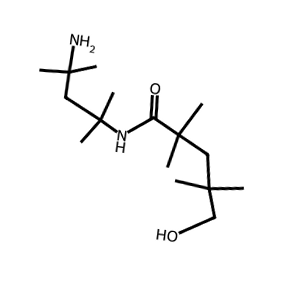 CC(C)(N)CC(C)(C)NC(=O)C(C)(C)CC(C)(C)CO